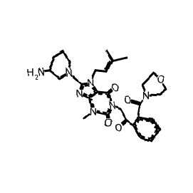 CC(C)=CCn1c(N2CCCC(N)C2)nc2c1c(=O)n(CC(=O)c1ccccc1C(=O)N1CCOCC1)c(=O)n2C